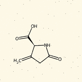 C=C1CC(=O)N[C@@H]1C(=O)O